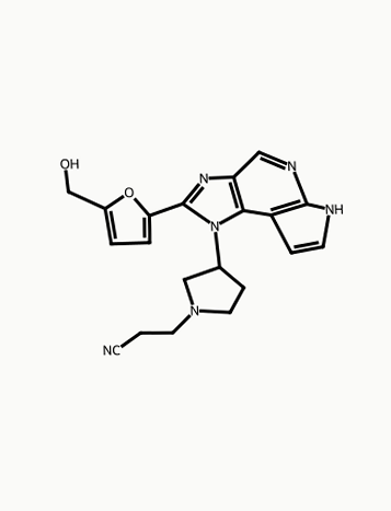 N#CCCN1CCC(n2c(-c3ccc(CO)o3)nc3cnc4[nH]ccc4c32)C1